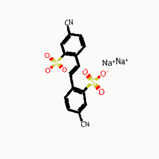 N#Cc1ccc(/C=C/c2ccc(C#N)cc2S(=O)(=O)[O-])c(S(=O)(=O)[O-])c1.[Na+].[Na+]